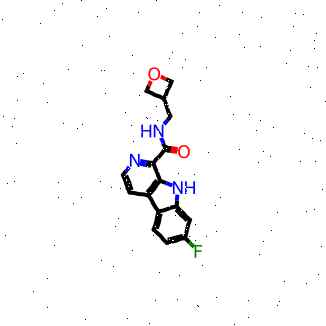 O=C(NCC1COC1)c1nccc2c1[nH]c1cc(F)ccc12